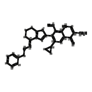 COc1c(-c2cc3c(s2)CCC/C3=N\OCc2cccnc2)c(C2CC2)cc2c(=O)c(C(=O)O)c[nH]c12